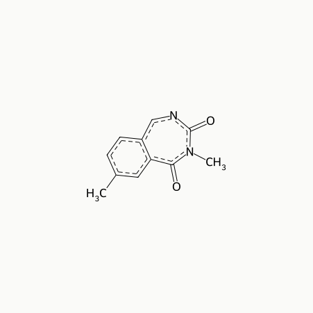 Cc1ccc2cnc(=O)n(C)c(=O)c2c1